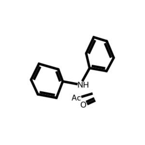 C=O.CC(C)=O.c1ccc(Nc2ccccc2)cc1